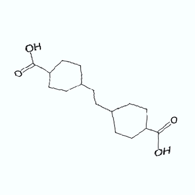 O=C(O)C1CCC(CCC2CCC(C(=O)O)CC2)CC1